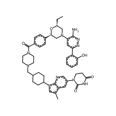 CC[C@H]1CN(c2cc(-c3ccccc3O)nnc2N)C[C@@H](c2ccc(C(=O)N3CCN(CC4CCC(n5cc(C)c6cc(N7CCC(=O)NC7=O)cnc65)CC4)CC3)cc2)O1